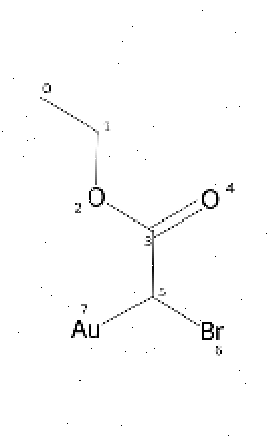 CCOC(=O)[CH](Br)[Au]